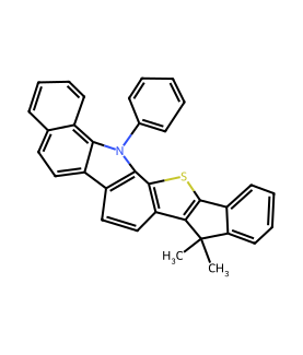 CC1(C)c2ccccc2-c2sc3c(ccc4c5ccc6ccccc6c5n(-c5ccccc5)c43)c21